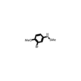 COc1ccc(NSC)cc1Br